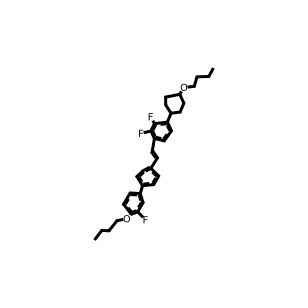 CCCCOc1ccc(-c2ccc(/C=C/c3ccc(C4CCC(OCCCC)CC4)c(F)c3F)cc2)cc1F